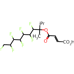 CC(C)C(C)(OC(=O)C=CC(=O)O)C(F)C(F)C(F)C(F)C(F)C(F)CF